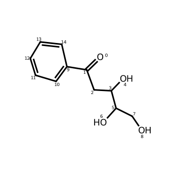 O=C(CC(O)C(O)CO)c1ccccc1